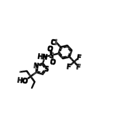 CCC(O)(CC)c1csc(NS(=O)(=O)c2cc(C(F)(F)F)ccc2Cl)n1